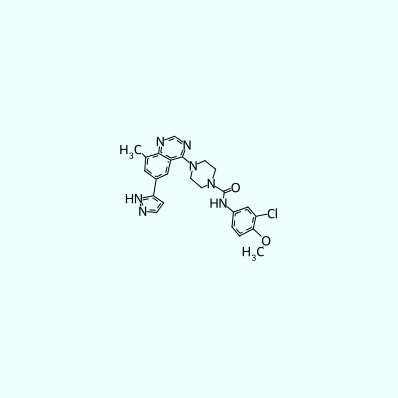 COc1ccc(NC(=O)N2CCN(c3ncnc4c(C)cc(-c5ccn[nH]5)cc34)CC2)cc1Cl